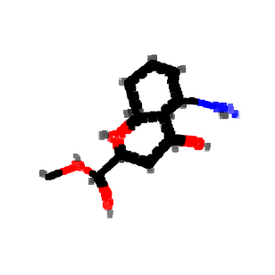 COC(=O)c1cc(=O)c2c(N)cccc2o1